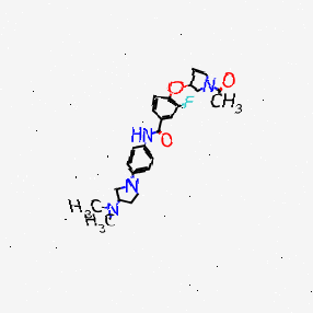 CC(=O)N1CCC(Oc2ccc(C(=O)Nc3ccc(N4CCC(N(C)C)C4)cc3)cc2F)C1